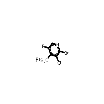 CCOC(=O)c1c(F)cnc(Br)c1Cl